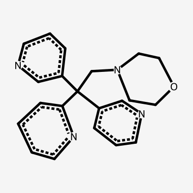 c1ccc(C(CN2CCOCC2)(c2cccnc2)c2cccnc2)nc1